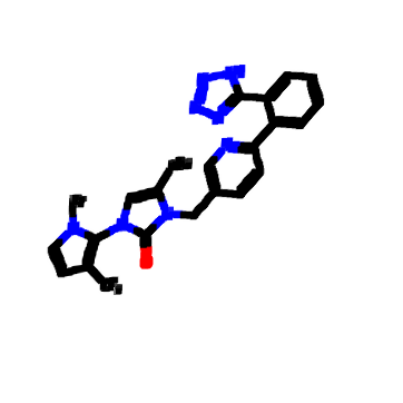 CCCCc1cn(-c2c(C(F)(F)F)ccn2C(C)C)c(=O)n1Cc1ccc(-c2ccccc2-c2nnn[nH]2)nc1